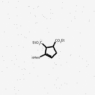 CCCCCCC1=CCC(C(=O)OCC)C1C(=O)OCC